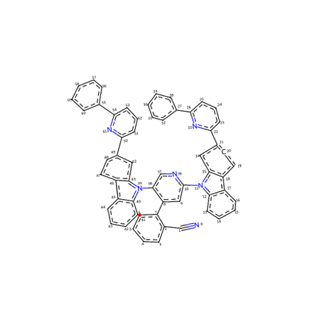 N#Cc1ccccc1-c1cc(-n2c3ccccc3c3ccc(-c4cccc(-c5ccccc5)n4)cc32)ncc1-n1c2ccccc2c2ccc(-c3cccc(-c4ccccc4)n3)cc21